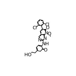 COn1c(=O)c(-c2c(Cl)cccc2Cl)cc2cnc(NC3=CC=C(CCO)CC3=O)nc21